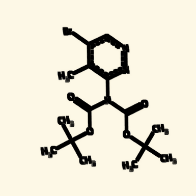 Cc1c(Br)cnnc1N(C(=O)OC(C)(C)C)C(=O)OC(C)(C)C